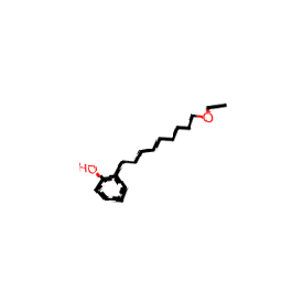 CCOCCCCCCCCCc1ccccc1O